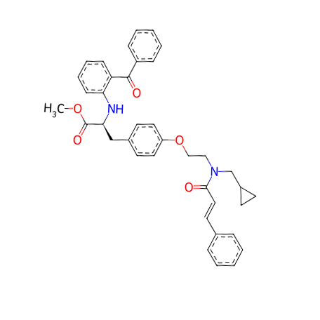 COC(=O)[C@H](Cc1ccc(OCCN(CC2CC2)C(=O)/C=C/c2ccccc2)cc1)Nc1ccccc1C(=O)c1ccccc1